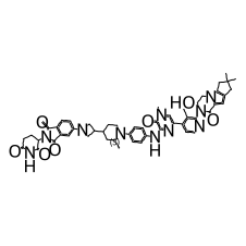 C[C@H]1CC(C2CN(c3ccc4c(c3)C(=O)N(C3CCC(=O)NC3=O)C4=O)C2)CCN1c1ccc(Nc2nc(-c3ccnc(N4CCn5c(cc6c5CC(C)(C)C6)C4=O)c3CO)cn(C)c2=O)cc1